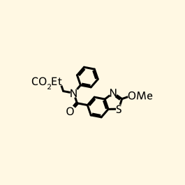 CCOC(=O)CN(C(=O)c1ccc2sc(OC)nc2c1)c1ccccc1